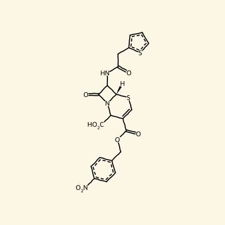 O=C(Cc1cccs1)NC1C(=O)N2C(C(=O)O)C(C(=O)OCc3ccc([N+](=O)[O-])cc3)=CS[C@@H]12